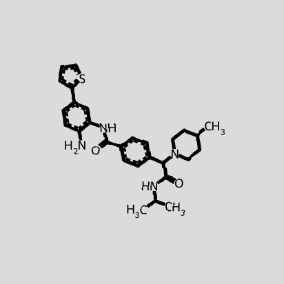 CC1CCN(C(C(=O)NC(C)C)c2ccc(C(=O)Nc3cc(-c4cccs4)ccc3N)cc2)CC1